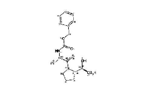 CC(C)[C@H](NC(=O)OCc1ccccc1)C(=O)N1CCC[C@H]1[C@@H](O)C(=O)O